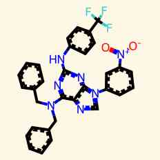 O=[N+]([O-])c1cccc(-n2cnc3c(N(Cc4ccccc4)Cc4ccccc4)nc(Nc4ccc(C(F)(F)F)cc4)nc32)c1